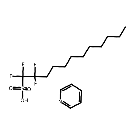 CCCCCCCCCCC(F)(F)C(F)(F)S(=O)(=O)O.c1ccncc1